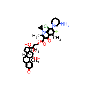 Cc1c(F)c(N2CCCC[C@@H](N)C2)c(Cl)c2c1c(=O)c(C(=O)OCCC(=O)[C@@]1(O)CC[C@H]3[C@@H]4CCC5=CC(=O)C=C[C@]5(C)C4[C@@H](O)C[C@@]31C)c(C)n2C1CC1